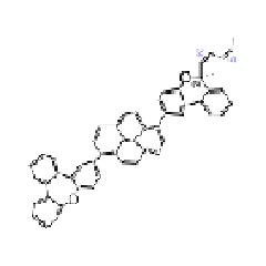 C/C=C\C=C/[C@]1(C)Oc2ccc(-c3ccc4ccc5c(-c6ccc7c(c6)-c6ccccc6-c6ccccc6O7)ccc6ccc3c4c65)cc2-c2ccccc21